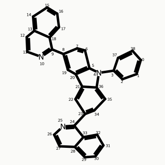 c1ccc(-n2c3ccc(-c4nccc5ccccc45)cc3c3cc(-c4nccc5ccccc45)ccc32)cc1